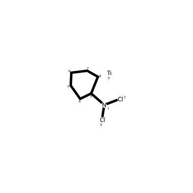 ClN(Cl)C1CCCCC1.[Ti]